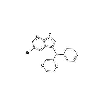 Brc1cnc2[nH]cc(C(C3=CC=CCC3)C3=COC=CO3)c2c1